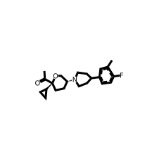 CC(=O)[C@@]1(C2CC2)CC[C@@H](N2CCC(c3ccc(F)c(C)c3)CC2)CO1